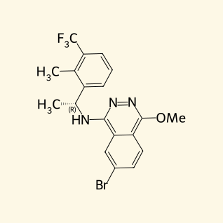 COc1nnc(N[C@H](C)c2cccc(C(F)(F)F)c2C)c2cc(Br)ccc12